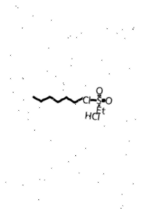 CCCCCCC.CCS(=O)(=O)Cl.Cl